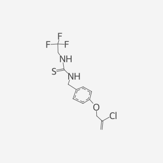 C=C(Cl)COc1ccc(CNC(=S)NCC(F)(F)F)cc1